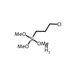 CO[Si](CCCCl)(OC)OC.N